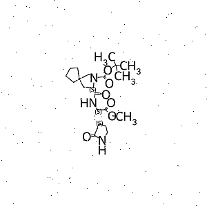 COC(=O)[C@H](C[C@@H]1CCNC1=O)NC(=O)[C@@H]1CC2(CCCC2)CN1C(=O)OC(C)(C)C